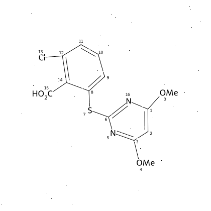 COc1cc(OC)nc(Sc2cccc(Cl)c2C(=O)O)n1